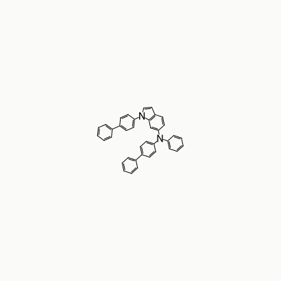 c1ccc(-c2ccc(N(c3ccccc3)c3ccc4ccn(-c5ccc(-c6ccccc6)cc5)c4c3)cc2)cc1